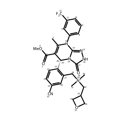 COC(=O)C1=C(C)N(c2cccc(C(F)(F)F)c2)c2n[nH]c(=O)n2[C@@H]1c1ccc(C#N)cc1C[N+](C)(C)CC1COC1